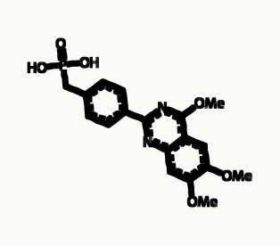 COc1cc2nc(-c3ccc(CP(=O)(O)O)cc3)nc(OC)c2cc1OC